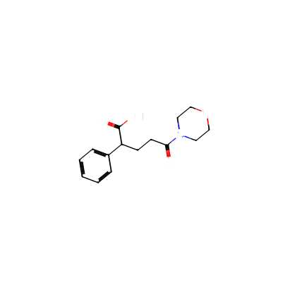 O=C(O)C(CCC(=O)N1CCOCC1)c1ccccc1